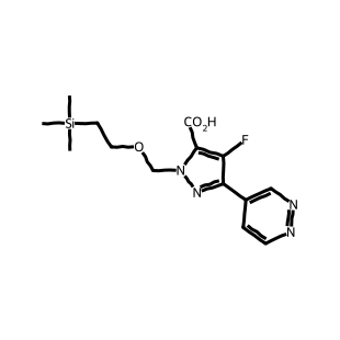 C[Si](C)(C)CCOCn1nc(-c2ccnnc2)c(F)c1C(=O)O